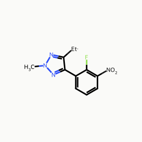 C[CH]c1nn(C)nc1-c1cccc([N+](=O)[O-])c1F